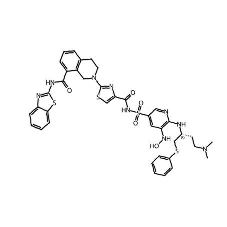 CN(C)CC[C@H](CSc1ccccc1)Nc1ncc(S(=O)(=O)NC(=O)c2csc(N3CCc4cccc(C(=O)Nc5nc6ccccc6s5)c4C3)n2)cc1NO